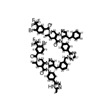 Cc1nnc(-c2ccc(-n3c(=O)c4c(n5ncc(Cc6cccc(Cn7ncnc7-c7ccc(-n8c(=O)c9c(n%10ncc(Cc%11ccccc%11)c8%10)CN(C(=O)c8ccc(Br)c(C(F)(F)F)c8)C(C)C9)cc7)c6)c35)CN(C(=O)c3ccc(Br)c(C(F)(F)F)c3)C(C)C4)cc2)[nH]1